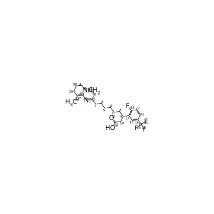 C=C/C(CCCCCCC(CC(=O)O)c1cc(C(F)(F)F)ccc1F)=N\C1=C(C)CCCN1